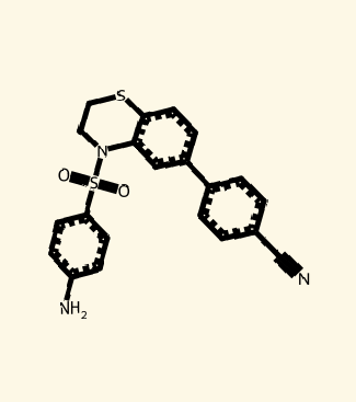 N#Cc1ccc(-c2ccc3c(c2)N(S(=O)(=O)c2ccc(N)cc2)CCS3)cc1